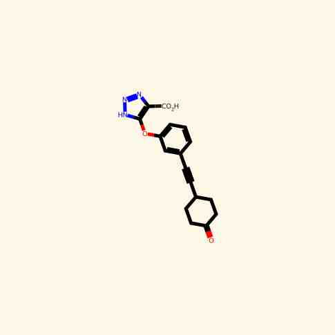 O=C1CCC(C#Cc2cccc(Oc3[nH]nnc3C(=O)O)c2)CC1